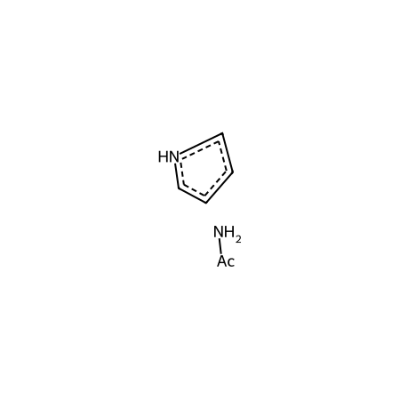 CC(N)=O.c1cc[nH]c1